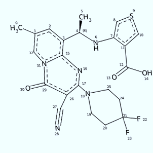 Cc1cc([C@@H](C)Nc2cscc2C(=O)O)c2nc(N3CCC(F)(F)CC3)c(C#N)c(=O)n2c1